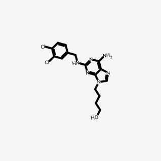 Nc1nc(NCc2ccc(Cl)c(Cl)c2)nc2c1ncn2CCCCO